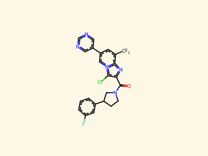 O=C(c1nc2c(C(F)(F)F)cc(-c3cncnc3)cn2c1Cl)N1CCC(c2cccc(F)c2)C1